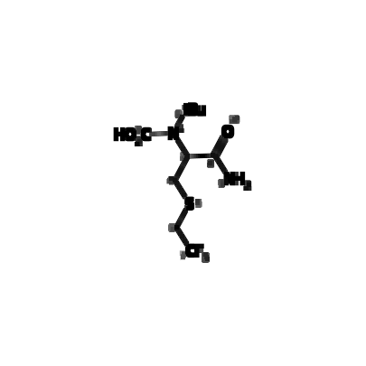 CC(C)(C)N(C(=O)O)C(CSCC(F)(F)F)C(N)=O